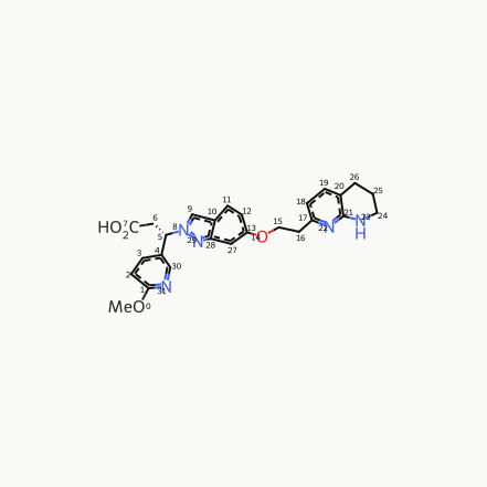 COc1ccc([C@H](CC(=O)O)n2cc3ccc(OCCc4ccc5c(n4)NCCC5)cc3n2)cn1